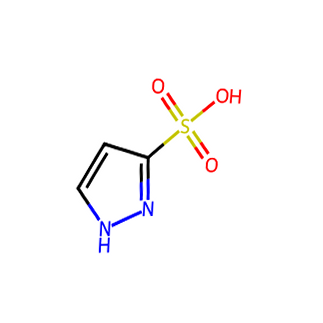 O=S(=O)(O)c1cc[nH]n1